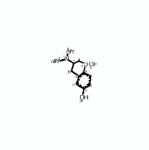 CCCN(CCC)C1COc2ccc(O)cc2C1.Cl